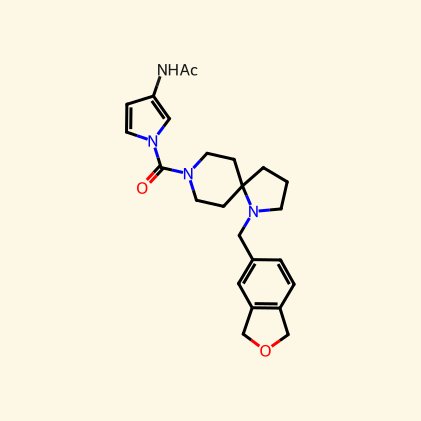 CC(=O)Nc1ccn(C(=O)N2CCC3(CCCN3Cc3ccc4c(c3)COC4)CC2)c1